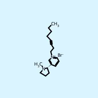 CCCCC#CCC[n+]1cccc([C@@H]2CCCN2C)c1.[Br-]